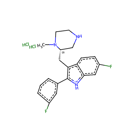 CN1CCNC[C@@H]1Cc1c(-c2cccc(F)c2)[nH]c2cc(F)ccc12.Cl.Cl